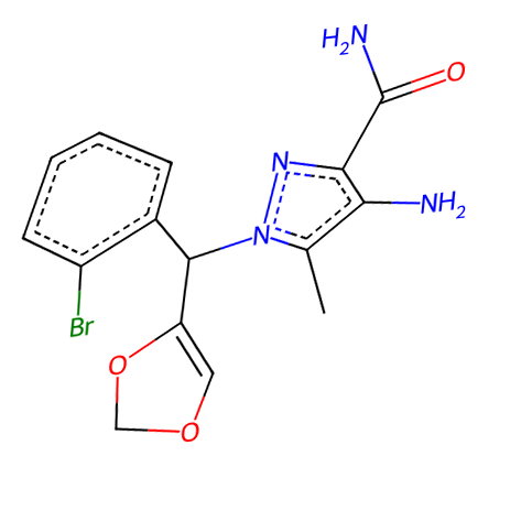 Cc1c(N)c(C(N)=O)nn1C(C1=COCO1)c1ccccc1Br